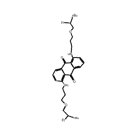 CCCCC(CC)COCCCNc1cccc2c1C(=O)c1cccc(NCCCOCC(CC)CCCC)c1C2=O